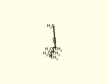 CCCCCCCCCCOCOCCCC(C)CC(C)CC(C)CC(C)CC(C)I